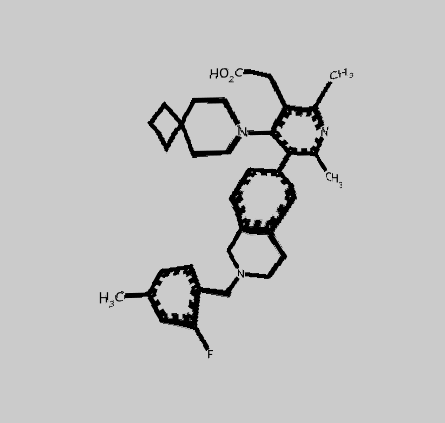 Cc1ccc(CN2CCc3cc(-c4c(C)nc(C)c(CC(=O)O)c4N4CCC5(CCC5)CC4)ccc3C2)c(F)c1